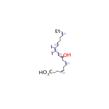 CC/C=C\CC/C=C/C(I)=C(I)\C=C\[C@@H](O)C/C=C\C/C=C\CCC(=O)O